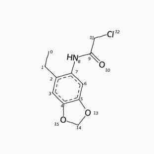 CCc1cc2c(cc1NC(=O)CCl)OCO2